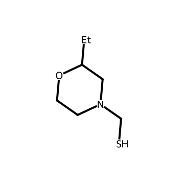 CCC1CN(CS)CCO1